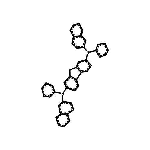 c1ccc(N(c2ccc3c(c2)Cc2cc(N(c4ccccc4)c4ccc5ccccc5c4)ccc2-3)c2ccc3ccccc3c2)cc1